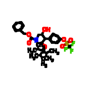 CC(C)[Si](OC1CN(C(=O)OCc2ccccc2)CC(O)C1c1ccc(OS(=O)(=O)C(F)(F)F)cc1)(C(C)C)C(C)C